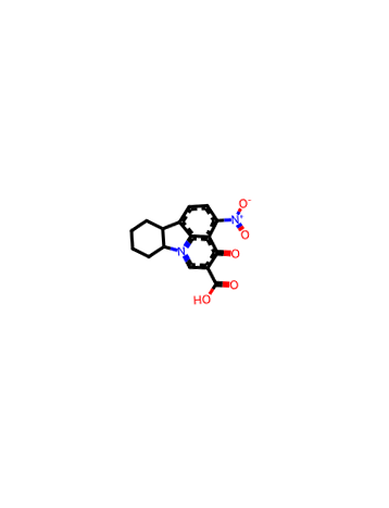 O=C(O)c1cn2c3c(ccc([N+](=O)[O-])c3c1=O)C1CCCCC12